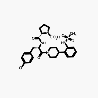 CS(=O)(=O)Nc1ccccc1C1CCN(C(=O)[C@@H](Cc2ccc(Cl)cc2)NC(=O)[C@@H]2CCCN2C(=O)O)CC1